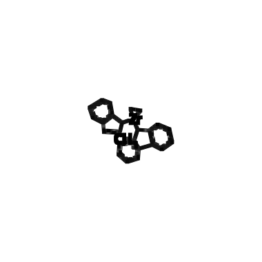 CC1=Cc2ccccc2[CH]1[Zr]1([CH]2c3ccccc3-c3ccccc32)[CH2][CH2]1